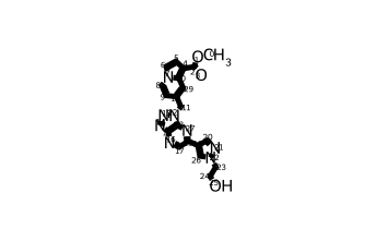 COC(=O)c1ccn2ccc(Cn3nnc4ncc(-c5cnn(CCO)c5)nc43)cc12